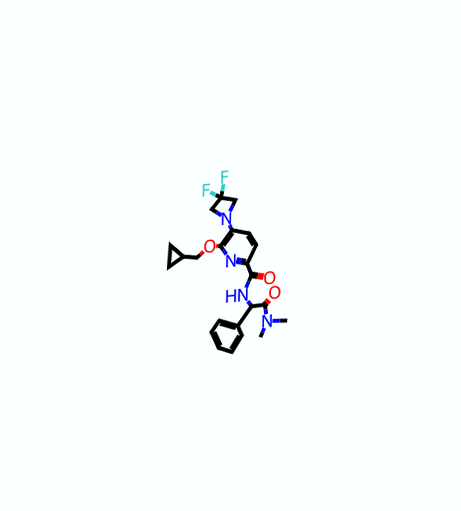 CN(C)C(=O)C(NC(=O)c1ccc(N2CC(F)(F)C2)c(OCC2CC2)n1)c1ccccc1